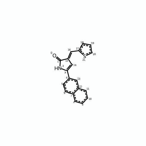 O=C1NC(c2ccc3ccccc3c2)=CC1=Cc1cccs1